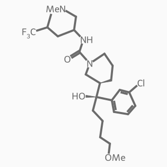 CNCC(CC(C)C(F)(F)F)NC(=O)N1CCC[C@@H]([C@@](O)(CCCCOC)c2cccc(Cl)c2)C1